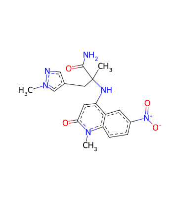 Cn1cc(CC(C)(Nc2cc(=O)n(C)c3ccc([N+](=O)[O-])cc23)C(N)=O)cn1